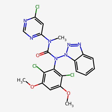 COc1cc(OC)c(Cl)c(N(C(=O)N(C)c2cc(Cl)ncn2)n2nnc3ccccc32)c1Cl